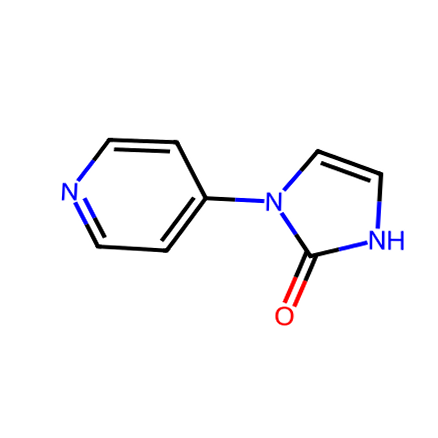 O=c1[nH]ccn1-c1ccncc1